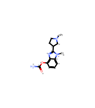 CCCN1CCC(c2nc3c(OC(N)=O)cccc3n2CC)C1